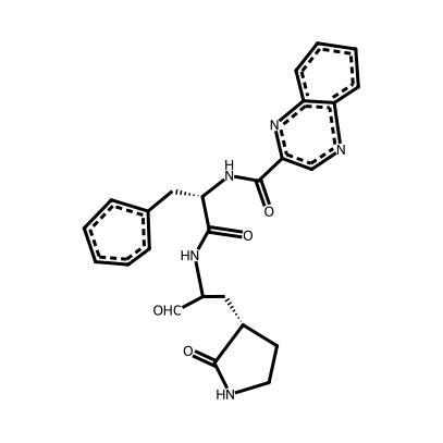 O=CC(C[C@@H]1CCNC1=O)NC(=O)[C@H](Cc1ccccc1)NC(=O)c1cnc2ccccc2n1